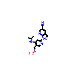 CC(C)Nc1cc(-n2ncc3cc(C#N)cnc32)ncc1/C=N/O